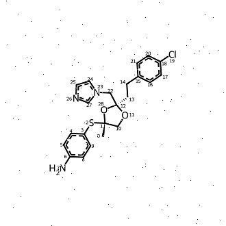 C[C@]1(Sc2ccc(N)cc2)CO[C@](CCc2ccc(Cl)cc2)(Cn2ccnc2)O1